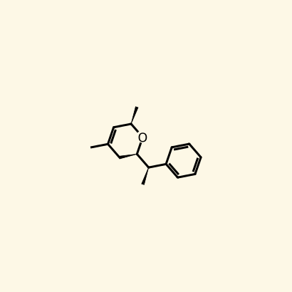 CC1=C[C@@H](C)O[C@@H]([C@H](C)c2ccccc2)C1